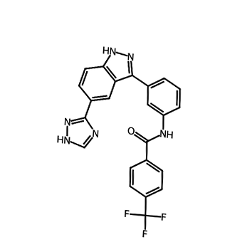 O=C(Nc1cccc(-c2n[nH]c3ccc(-c4nc[nH]n4)cc23)c1)c1ccc(C(F)(F)F)cc1